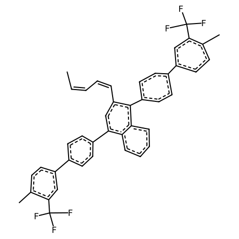 C/C=C\C=C/c1cc(-c2ccc(-c3ccc(C)c(C(F)(F)F)c3)cc2)c2ccccc2c1-c1ccc(-c2ccc(C)c(C(F)(F)F)c2)cc1